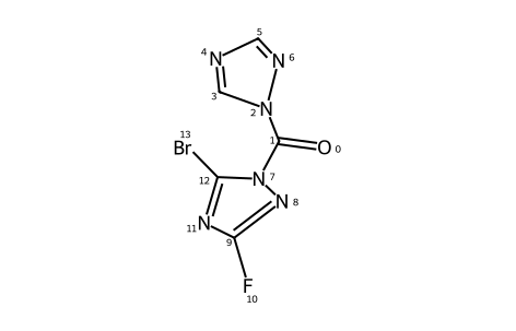 O=C(n1cncn1)n1nc(F)nc1Br